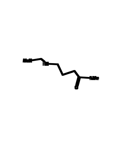 CNCNCCCC(=O)NC